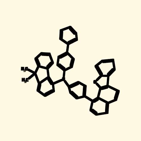 CC1(C)c2ccccc2-c2c(N(c3ccc(-c4ccccc4)cc3)c3ccc(-c4cccc5ccc6c7ccccc7oc6c45)cc3)cccc21